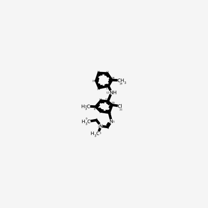 CCN(C)/C=N\c1cc(C)cc(Nc2ccccc2C)c1Cl